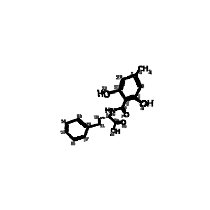 Cc1cc(O)c(C(=O)N[C@@H](CCc2ccccc2)C(=O)O)c(O)c1